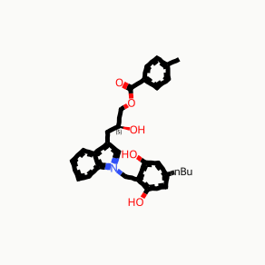 CCCCc1cc(O)c(Cn2cc(C[C@H](O)COC(=O)c3ccc(C)cc3)c3ccccc32)c(O)c1